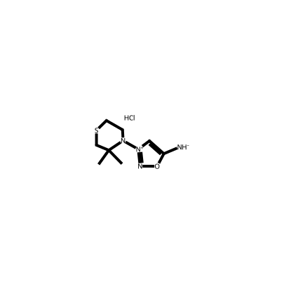 CC1(C)CSCCN1[n+]1cc([NH-])on1.Cl